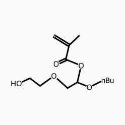 C=C(C)C(=O)OC(COCCO)OCCCC